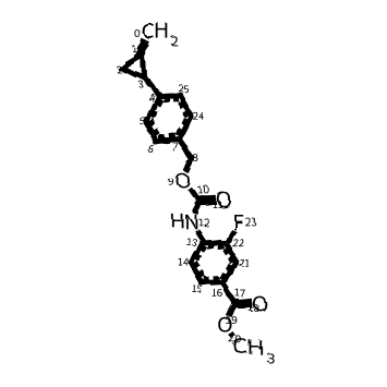 C=C1CC1c1ccc(COC(=O)Nc2ccc(C(=O)OC)cc2F)cc1